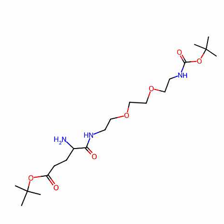 CC(C)(C)OC(=O)CCC(N)C(=O)NCCOCCOCCNC(=O)OC(C)(C)C